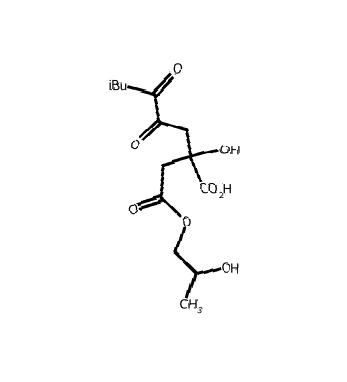 CCC(C)C(=O)C(=O)CC(O)(CC(=O)OCC(C)O)C(=O)O